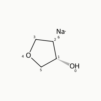 O[C@H]1CCOC1.[Na]